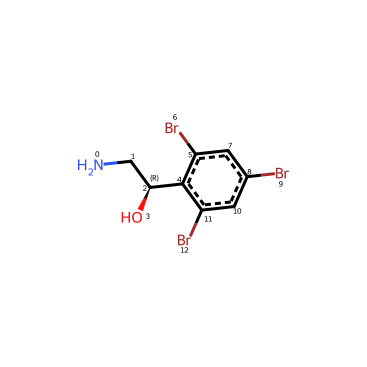 NC[C@H](O)c1c(Br)cc(Br)cc1Br